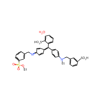 CCOS(=O)(=O)c1cccc(CN=C2C=CC(=C(c3ccc(N(CC)Cc4cccc(S(=O)(=O)O)c4)cc3)c3ccccc3S(=O)(=O)O)C=C2)c1.O